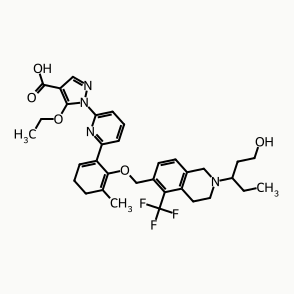 CCOc1c(C(=O)O)cnn1-c1cccc(C2=CCCC(C)=C2OCc2ccc3c(c2C(F)(F)F)CCN(C(CC)CCO)C3)n1